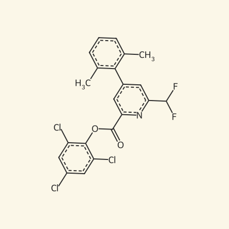 Cc1cccc(C)c1-c1cc(C(=O)Oc2c(Cl)cc(Cl)cc2Cl)nc(C(F)F)c1